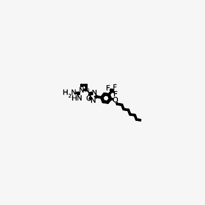 CCCCCCCCOc1ccc(-c2noc([C@@H]3CCN3C(=N)N)n2)cc1C(F)(F)F